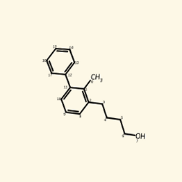 Cc1c(CCCCO)cccc1-c1ccccc1